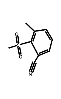 Cc1cccc(C#N)c1S(C)(=O)=O